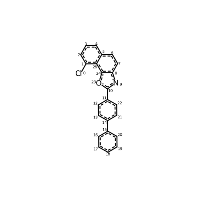 Clc1cccc2ccc3nc(-c4ccc(-c5ccccc5)cc4)oc3c12